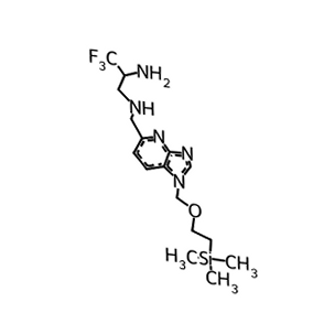 C[Si](C)(C)CCOCn1cnc2nc(CNCC(N)C(F)(F)F)ccc21